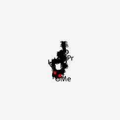 CCn1c(-c2cccnc2[C@H](C)OC)c2c3cc(ccc31)-c1cccc(n1)C[C@H](NC(=O)[C@H](C(C)C)N(C)C(=O)N1CCC13CN(C(=O)C#CC(C)(C)N(C)C)C3)C(=O)N1CCCC(N1)C(=O)OCC(C)(C)C2